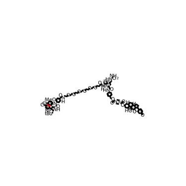 COc1cc(C(=O)NCCOCCOCCOCCOCCOCCOCCC(=O)N[C@@H](C(=O)N[C@@H](CCCNC(N)=O)C(=O)Nc2ccc(COC(=O)N3CCN(C(=O)O[C@H]4CC[C@@]5(C)[C@H](CC[C@@H]6[C@@H]5[C@H](O)C(=O)[C@]5(C)C(C7=CCC(=O)C=C7)CC[C@]65O)C4)CC3)cc2)C(C)C)ccc1NC(=O)[C@@H]1N[C@@H](CC(C)(C)C)[C@](C#N)(c2ccc(Cl)cc2)[C@H]1c1cccc(Cl)c1F